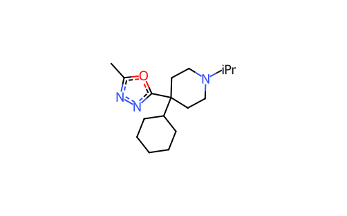 Cc1nnc(C2(C3CCCCC3)CCN(C(C)C)CC2)o1